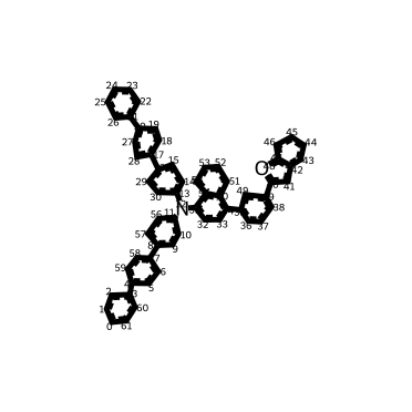 c1ccc(-c2ccc(-c3ccc(N(c4ccc(-c5ccc(-c6ccccc6)cc5)cc4)c4ccc(-c5cccc(-c6cc7ccccc7o6)c5)c5ccccc45)cc3)cc2)cc1